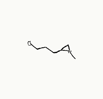 CN1CC1CCCCl